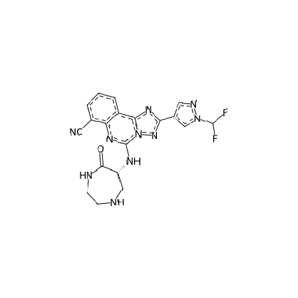 N#Cc1cccc2c1nc(N[C@@H]1CNCCNC1=O)n1nc(-c3cnn(C(F)F)c3)nc21